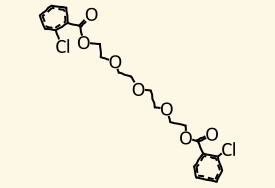 O=C(OCCOCCOCCOCCOC(=O)c1ccccc1Cl)c1ccccc1Cl